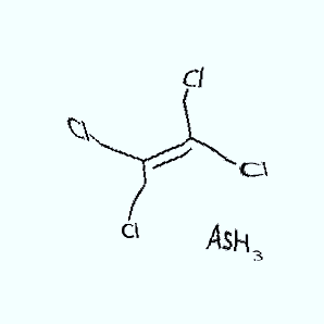 ClC(Cl)=C(Cl)Cl.[AsH3]